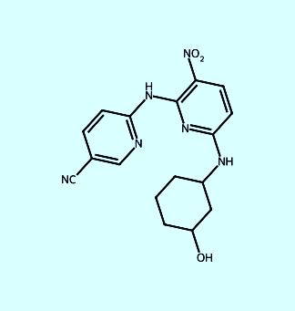 N#Cc1ccc(Nc2nc(NC3CCCC(O)C3)ccc2[N+](=O)[O-])nc1